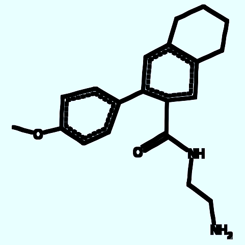 COc1ccc(-c2cc3c(cc2C(=O)NCCN)CCCC3)cc1